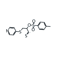 Cc1ccc(S(=O)(=O)OC([C]=S)CSc2ccncc2)cc1